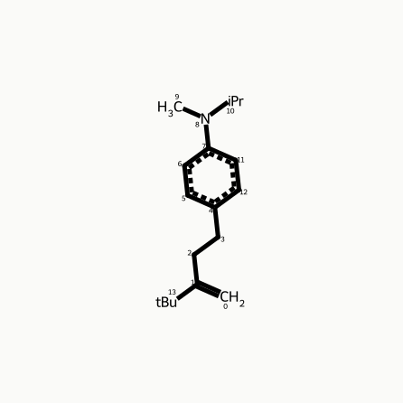 C=C(CCc1ccc(N(C)C(C)C)cc1)C(C)(C)C